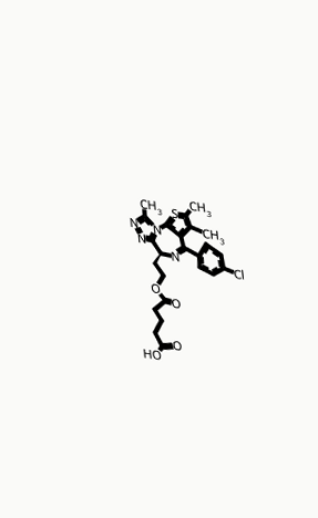 Cc1sc2c(c1C)C(c1ccc(Cl)cc1)=N[C@@H](CCOC(=O)CCCC(=O)O)c1nnc(C)n1-2